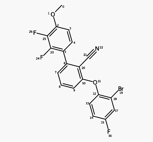 COc1ccc(-c2cccc(Oc3ccc(F)cc3Br)c2C#N)c(F)c1F